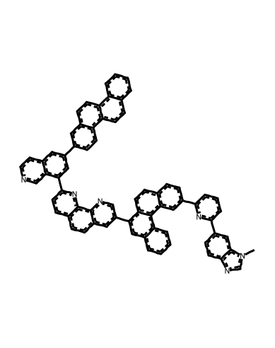 Cn1cnc2ccc(-c3cccc(-c4ccc5ccc6c(-c7cnc8c(ccc9ccc(-c%10cc(-c%11ccc%12c(ccc%13c%14ccccc%14ccc%12%13)c%11)cc%11ccncc%10%11)nc98)c7)cc7ccccc7c6c5c4)n3)cc21